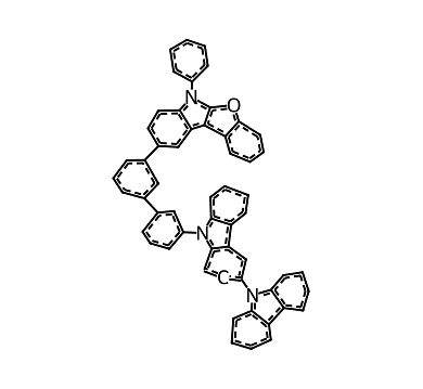 c1ccc(-n2c3ccc(-c4cccc(-c5cccc(-n6c7ccccc7c7cc(-n8c9ccccc9c9ccccc98)ccc76)c5)c4)cc3c3c4ccccc4oc32)cc1